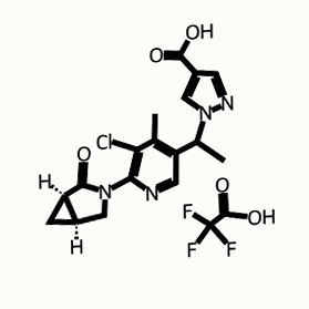 Cc1c(C(C)n2cc(C(=O)O)cn2)cnc(N2C[C@H]3C[C@H]3C2=O)c1Cl.O=C(O)C(F)(F)F